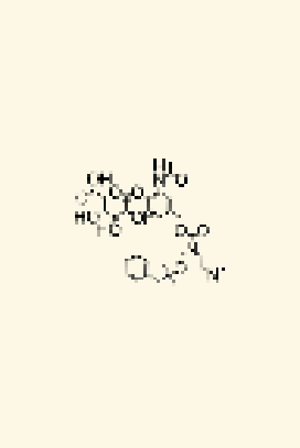 CC(=O)Nc1cc(COC(=O)N(CCN(C)C)COC(C)(C)Cc2ccccc2)ccc1O[C@H]1OC(C(=O)O)C(O)[C@H](O)C1O